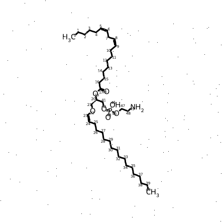 CCCCC/C=C\C/C=C\CCCCCCCC(=O)O[C@H](CO/C=C\CCCCCCCCCCCCCCCC)COP(=O)(O)OCCN